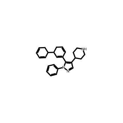 C1=CCC(C2C=C(c3c(C4CCNCC4)cnn3-c3ccccc3)C=CC2)C=C1